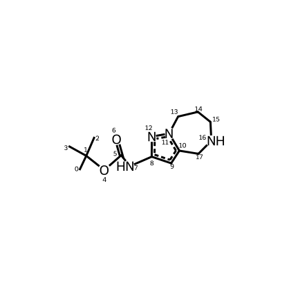 CC(C)(C)OC(=O)Nc1cc2n(n1)CCCNC2